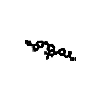 O=C(O)Cc1cccc(Oc2ccc(Oc3ccc4c(cnn4C4COC4)c3)cc2C(F)(F)F)c1